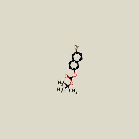 CC(C)(C)OC(=O)Oc1ccc2cc(Br)ccc2c1